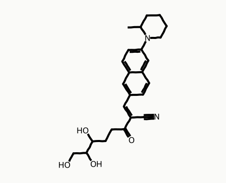 CC1CCCCN1c1ccc2cc(/C=C(\C#N)C(=O)CCC(O)C(O)CO)ccc2c1